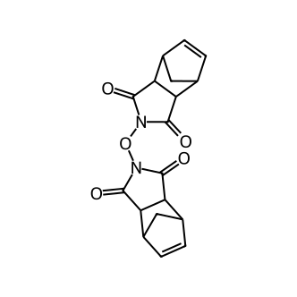 O=C1C2C3C=CC(C3)C2C(=O)N1ON1C(=O)C2C3C=CC(C3)C2C1=O